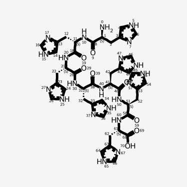 N[C@@H](Cc1c[nH]cn1)C(=O)N[C@@H](Cc1c[nH]cn1)C(=O)N[C@@H](Cc1c[nH]cn1)C(=O)N[C@@H](Cc1c[nH]cn1)C(=O)N[C@@H](Cc1c[nH]cn1)C(=O)N[C@@H](Cc1c[nH]cn1)C(=O)N[C@@H](Cc1c[nH]cn1)C(=O)O